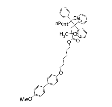 CCCCCC(C)(c1ccccc1)C(CC(C)(C)C(=O)OCCCCCCOc1ccc(-c2ccc(OC)cc2)cc1)(c1ccccc1)c1ccccc1